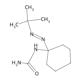 CC(C)(C)/N=N/C1(NC(N)=O)CCCCC1